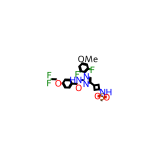 COc1cc(F)c(-n2cc(C3CC(NS(C)(=O)=O)C3)nc2NC(=O)c2ccc(OCC(F)F)cc2)c(F)c1